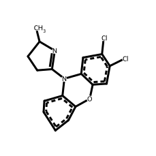 CC1CCC(N2c3ccccc3Oc3cc(Cl)c(Cl)cc32)=N1